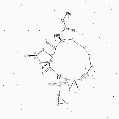 CC(C)(C)OC(=O)N[C@H]1CCCCC/C=C\[C@@H]2C[C@@]2(C(=O)C2CC2)NC(=O)[C@@H]2C[C@@H](N)CN2C1=O